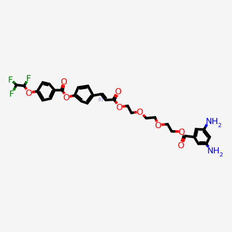 Nc1cc(N)cc(C(=O)OCCOCCOCCOC(=O)/C=C/c2ccc(OC(=O)c3ccc(OC(F)C(F)F)cc3)cc2)c1